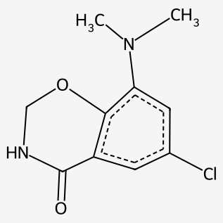 CN(C)c1cc(Cl)cc2c1OCNC2=O